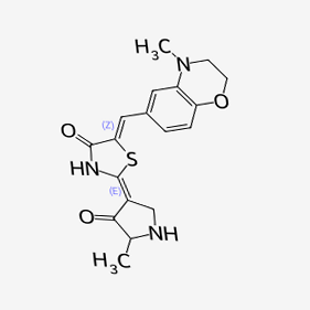 CC1NC/C(=c2/[nH]c(=O)/c(=C/c3ccc4c(c3)N(C)CCO4)s2)C1=O